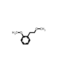 COCCc1c[c]ccc1OC